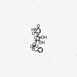 C[C@]1(COP2(=O)OCc3ccccc3O2)O[C@@H](n2ccc(=O)[nH]c2=O)[C@H](O)[C@@H]1O